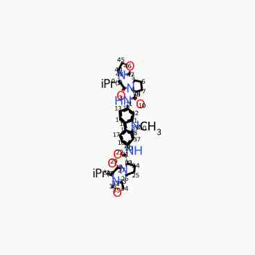 CC(C)[C@@H](C(=O)N1CCC[C@H]1C(=O)Nc1ccc2c3ccc(NC(=O)[C@@H]4CCCN4C(=O)[C@H](C(C)C)N4CCOC4)cc3n(C)c2c1)N1CCOC1